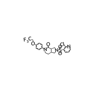 O=C1C2CN(S(=O)(=O)c3cccnc3Cl)CC2CCN1c1ccc(OCC(F)(F)F)cc1